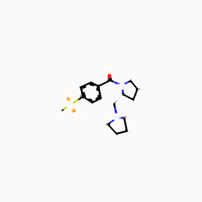 CS(=O)(=O)c1ccc(C(=O)N2CCC[C@H]2CN2CCCC2)cc1